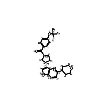 O=C(c1ccc(OC(F)(F)F)cc1)N1CC[C@H](c2c[nH]c3ncc(C4CCOCC4)nc23)C1